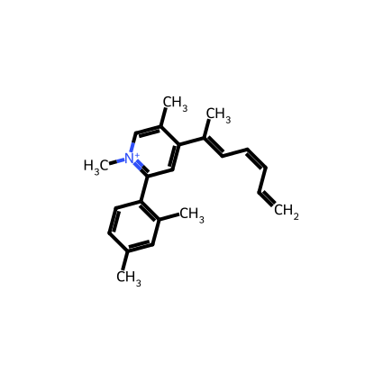 C=C/C=C\C=C(/C)c1cc(-c2ccc(C)cc2C)[n+](C)cc1C